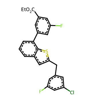 CCOC(=O)c1cc(F)cc(-c2cccc3cc(Cc4cc(F)cc(Cl)c4)sc23)c1